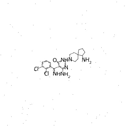 N=C(c1cccc(Cl)c1Cl)c1c(N)nc(N2CCC3(CCCC3N)CC2)[nH]c1=O